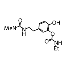 CCNC(=O)Oc1cc(CCNC(=O)NC)ccc1O